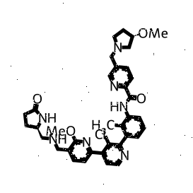 COc1nc(-c2ccnc(-c3cccc(NC(=O)c4ccc(CN5CC[C@H](OC)C5)cn4)c3C)c2Cl)ccc1CNC[C@H]1CCC(=O)N1